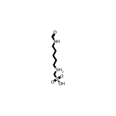 O=CNCCCCC[SiH2]CS(=O)(=O)O